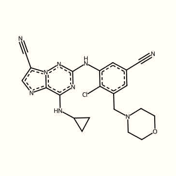 N#Cc1cc(CN2CCOCC2)c(Cl)c(Nc2nc(NC3CC3)c3ncc(C#N)n3n2)c1